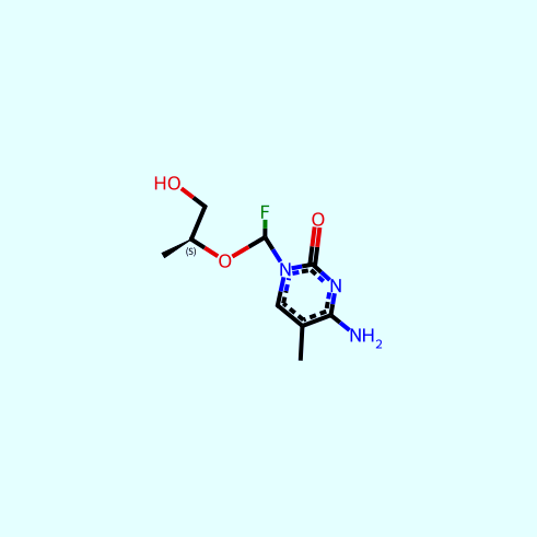 Cc1cn(C(F)O[C@@H](C)CO)c(=O)nc1N